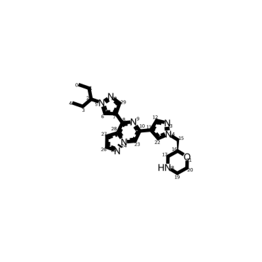 CCC(CC)n1cc(-c2nc(-c3cnn(C[C@@H]4CNCCO4)c3)cn3nccc23)cn1